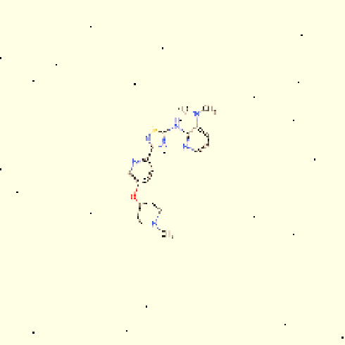 CN1CCC(Oc2ccc(-c3nsc(Nc4ncccc4N(C)C)n3)nc2)CC1